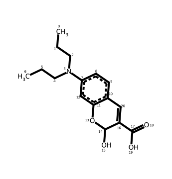 CCCN(CCC)c1ccc2c(c1)OC(O)C(C(=O)O)=C2